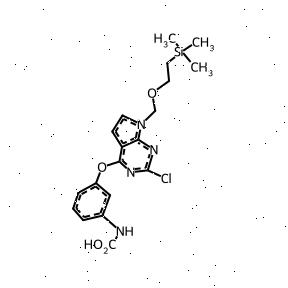 C[Si](C)(C)CCOCn1ccc2c(Oc3cccc(NC(=O)O)c3)nc(Cl)nc21